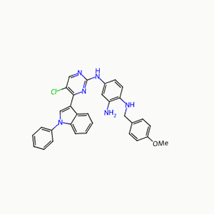 COc1ccc(CNc2ccc(Nc3ncc(Cl)c(-c4cn(-c5ccccc5)c5ccccc45)n3)cc2N)cc1